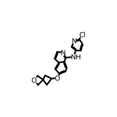 Clc1ccc(Nc2nccc3cc(OC4CC5(COC5)C4)ccc23)cn1